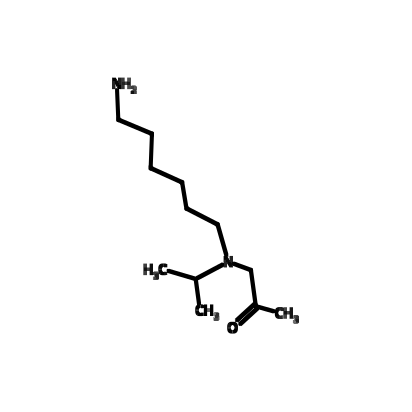 CC(=O)CN(CCCCCCN)C(C)C